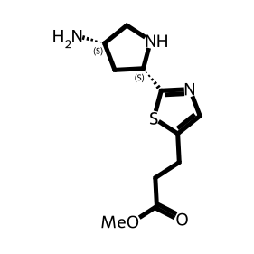 COC(=O)CCc1cnc([C@@H]2C[C@H](N)CN2)s1